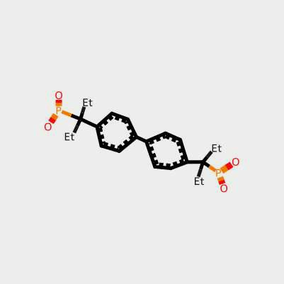 CCC(CC)(c1ccc(-c2ccc(C(CC)(CC)P(=O)=O)cc2)cc1)P(=O)=O